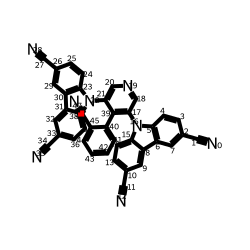 N#Cc1ccc2c(c1)c1cc(C#N)ccc1n2-c1cncc(-n2c3ccc(C#N)cc3c3cc(C#N)ccc32)c1-c1ccccc1C#N